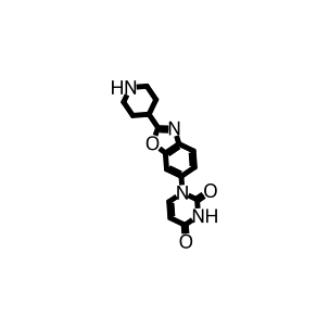 O=c1ccn(-c2ccc3nc(C4CCNCC4)oc3c2)c(=O)[nH]1